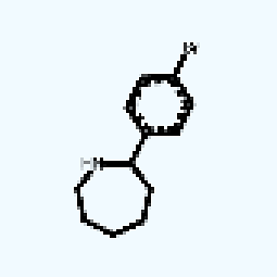 Brc1ccc(C2CCCCCN2)cc1